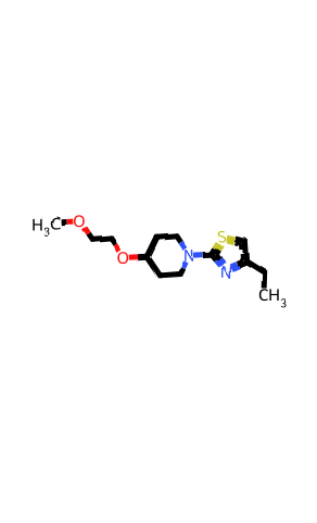 CCc1csc(N2CCC(OCCOC)CC2)n1